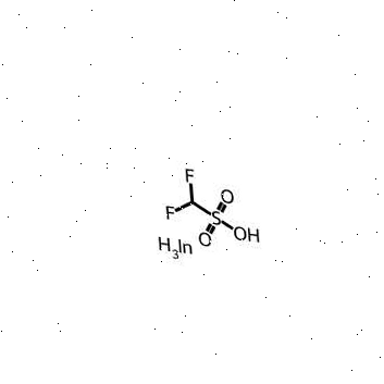 O=S(=O)(O)C(F)F.[InH3]